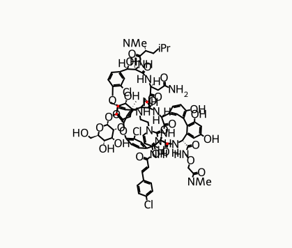 CNC(=O)CONC(=O)[C@@H]1NC(=O)[C@H]2NC(=O)[C@H](NC(=O)[C@@H]3NC(=O)[C@H](CC(N)=O)NC(=O)[C@H](NC(=O)[C@@H](CC(C)C)NC)[C@H](O)c4ccc(c(Cl)c4)Oc4cc3cc(c4O[C@@H]3O[C@H](CO)[C@@H](O)[C@H](O)[C@H]3O[C@H]3C[C@](C)(NCCn4ccc(NC(=O)/C=C/c5ccc(Cl)cc5)nc4=O)[C@H](O)[C@H](C)O3)Oc3ccc(cc3Cl)[C@H]2O)c2ccc(O)c(c2)-c2c(O)cc(O)cc21